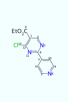 CCOC(=O)c1cnc(-c2ccncc2)nc1Cl